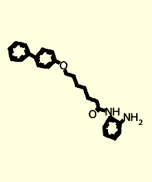 Nc1ccccc1NC(=O)CCCCCCOc1ccc(-c2ccccc2)cc1